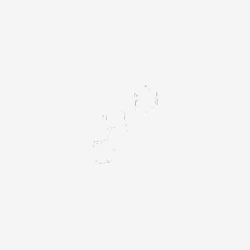 c1ccc(C2=NSC(c3ccccc3)O2)cc1